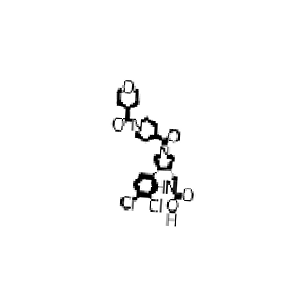 O=C(O)NC[C@H]1CN(C(=O)C2CCN(C(=O)C3CCOCC3)CC2)C[C@H]1c1ccc(Cl)c(Cl)c1